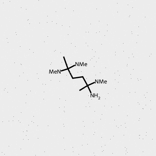 CNC(C)(N)CCC(C)(NC)NC